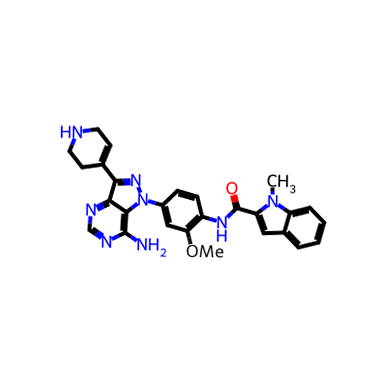 COc1cc(-n2nc(C3=CCNCC3)c3ncnc(N)c32)ccc1NC(=O)c1cc2ccccc2n1C